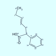 CCC=CCC(C(=O)O)c1ccccc1